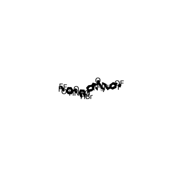 Br.C[C@H]1CN(C(=O)c2cc3ccc(Oc4ccc(NC(=O)c5ccc(OC(F)(F)F)cc5)cn4)cc3n2C)CCN1Cc1ccc(OC(F)F)cc1